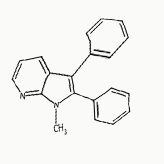 Cn1c(-c2ccccc2)c(-c2ccccc2)c2cccnc21